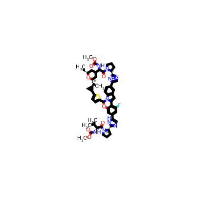 CC[C@@H]1CC(C(NC(=O)OC)C(=O)N2CCC[C@H]2c2ncc(-c3ccc4c(c3)cc3n4C(c4ccc(C5CC5)s4)Oc4cc(-c5cnc([C@@H]6CCCN6C(=O)[C@@H](NC(=O)OC)C(C)C)[nH]5)cc(F)c4-3)[nH]2)C[C@H](CC)O1